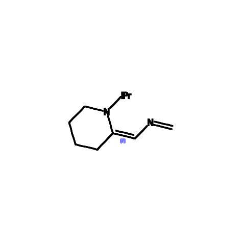 C=N/C=C1/CCCCN1C(C)C